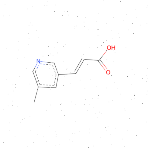 Cc1cncc(/C=C/C(=O)O)c1